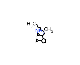 CCCCCC(C)CC(C1CC1N)C1CCCC1C1CC1